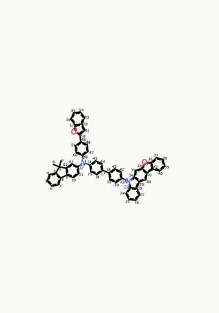 CC1(C)c2ccccc2-c2ccc(N(c3ccc(-c4ccc(-n5c6ccccc6c6cc7c(cc65)oc5ccccc57)cc4)cc3)c3ccc(-c4cc5ccccc5o4)cc3)cc21